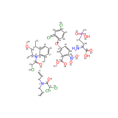 C=CCN(CC=C)C(=O)C(Cl)Cl.CCc1cccc(C)c1N(C(=O)CCl)C(C)COC.COC(=O)c1cc(Oc2ccc(Cl)cc2Cl)ccc1[N+](=O)[O-].CP(=O)(O)CCC(N)C(=O)O